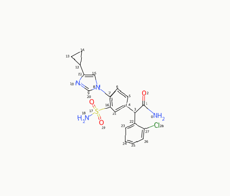 NC(=O)C(c1ccc(-n2cnc(C3CC3)c2)c(S(N)(=O)=O)c1)c1ccccc1Cl